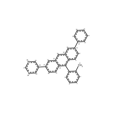 Cc1ccccc1-c1c2ccc(-c3ccccc3)cc2cc2cc(-c3cncnc3)ccc12